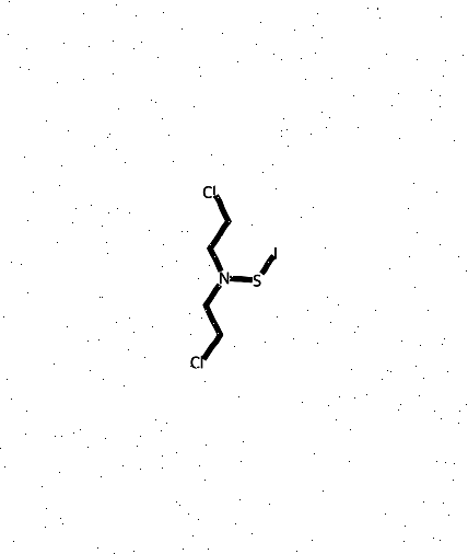 ClCCN(CCCl)SI